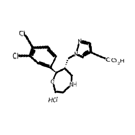 Cl.O=C(O)c1cnn(C[C@@H]2CNCCO[C@H]2c2ccc(Cl)c(Cl)c2)c1